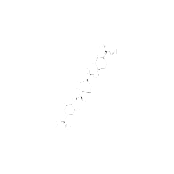 COC(=O)C1CCC(OC(=O)C2CCC(C(=O)OC3CCC(C(=O)O)CC3)CC2)CC1